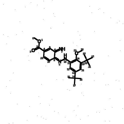 COC(=O)C1=CC(=N)/C(=N\Nc2cc(C(C)(C)C)cc(C(C)(C)C)c2OC)C=C1